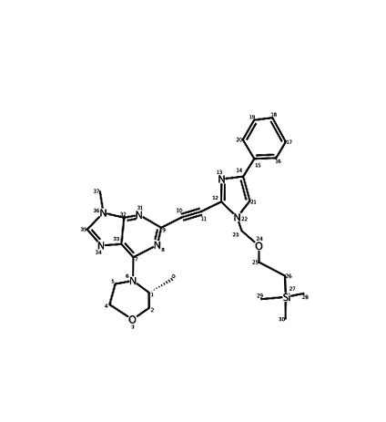 C[C@@H]1COCCN1c1nc(C#Cc2nc(-c3ccccc3)cn2COCC[Si](C)(C)C)nc2c1ncn2C